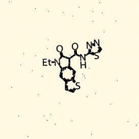 CCN1C(=O)C(C(=O)Nc2nncs2)c2cc3sccc3cc21